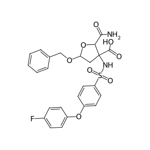 NC(=O)C1OC(OCc2ccccc2)CC1(NS(=O)(=O)c1ccc(Oc2ccc(F)cc2)cc1)C(=O)O